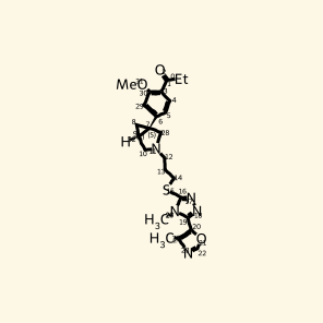 CCC(=O)c1ccc([C@]23C[C@H]2CN(CCCSc2nnc(-c4ocnc4C)n2C)C3)cc1OC